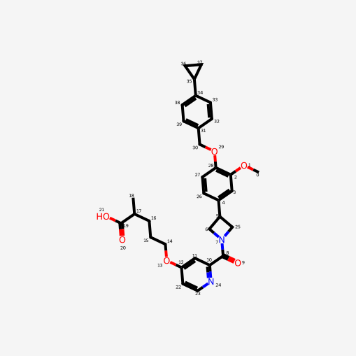 COc1cc(C2CN(C(=O)c3cc(OCCCC(C)C(=O)O)ccn3)C2)ccc1OCc1ccc(C2CC2)cc1